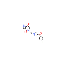 COC1CCN(CCCN2CCC(C(=O)c3ccc(F)cc3)CC2)C(=O)c2ccn(C)c21